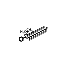 CC(C)(C)OOC(CC(F)(F)C(F)(F)C(F)(F)C(F)(F)C(F)(F)C(F)(F)C(F)(F)C(F)(F)C(F)(F)F)c1ccccc1